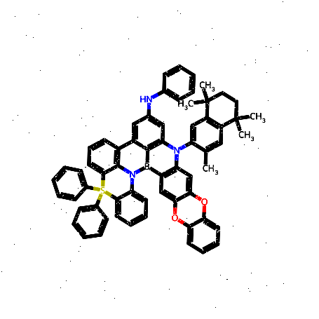 Cc1cc2c(cc1N1c3cc4c(cc3B3c5c(cc(Nc6ccccc6)cc51)-c1cccc5c1N3c1ccccc1S5(c1ccccc1)c1ccccc1)Oc1ccccc1O4)C(C)(C)CCC2(C)C